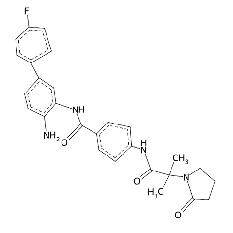 CC(C)(C(=O)Nc1ccc(C(=O)Nc2cc(-c3ccc(F)cc3)ccc2N)cc1)N1CCCC1=O